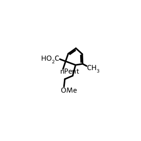 CCCCCC1(C(=O)O)C=CC=C(C)C1CCOC